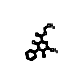 CCOC(=O)c1nn(C)c(=O)n(-c2ccccc2)c1=O